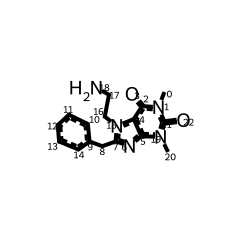 Cn1c(=O)c2c(nc(Cc3ccccc3)n2CCN)n(C)c1=O